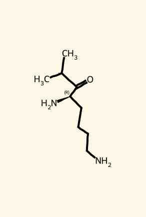 C[C](C)C(=O)[C@H](N)CCCCN